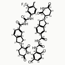 Cc1ccc(NC(=O)NC(=O)c2ccc3c(c2)CN(C2CCC(=O)NC2=O)C3)cc1C(F)(F)F.O=C1CCC(N2Cc3ccc(C(=O)NC(=O)Nc4cc(Cl)ccc4Cl)cc3C2)C(=O)N1